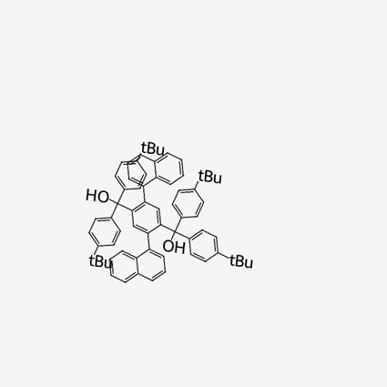 CC(C)(C)c1ccc(C(O)(c2ccc(C(C)(C)C)cc2)c2cc(-c3cccc4ccccc34)c(C(O)(c3ccc(C(C)(C)C)cc3)c3ccc(C(C)(C)C)cc3)cc2-c2cccc3ccccc23)cc1